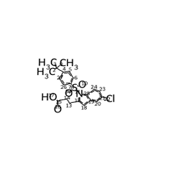 CC(C)(C)c1ccc(S(=O)(=O)n2c(CCC(=O)O)cc3cc(Cl)ccc32)cc1